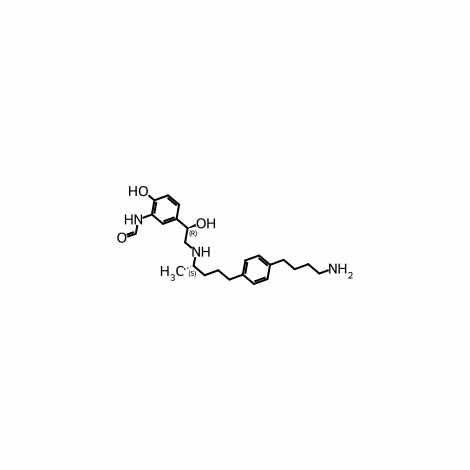 C[C@@H](CCCc1ccc(CCCCN)cc1)NC[C@H](O)c1ccc(O)c(NC=O)c1